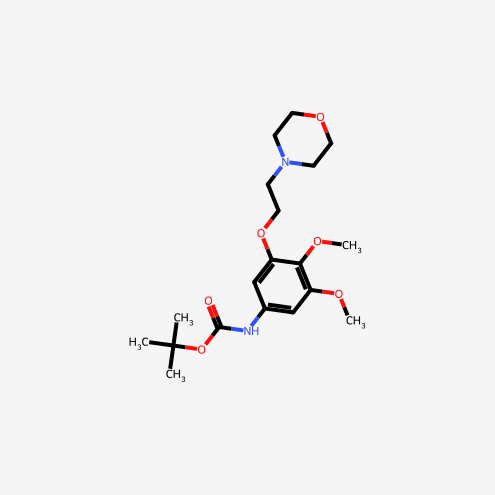 COc1cc(NC(=O)OC(C)(C)C)cc(OCCN2CCOCC2)c1OC